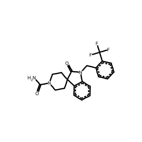 NC(=O)N1CCC2(CC1)C(=O)N(Cc1ccccc1C(F)(F)F)c1ccccc12